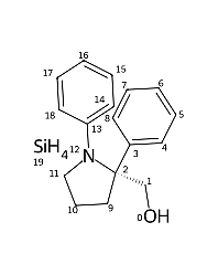 OC[C@]1(c2ccccc2)CCCN1c1ccccc1.[SiH4]